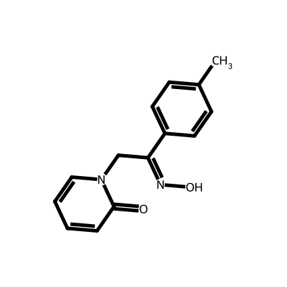 Cc1ccc(C(Cn2ccccc2=O)=NO)cc1